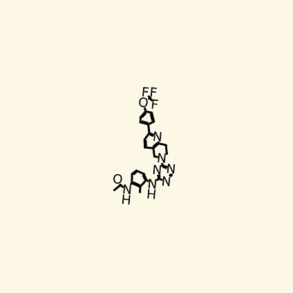 CC(=O)Nc1cccc(Nc2ncnc(N3CCc4nc(-c5ccc(OC(F)(F)F)cc5)ccc4C3)n2)c1C